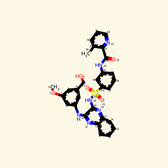 COc1cc(CO)cc(Nc2nc3ccccc3nc2NS(=O)(=O)c2cccc(NC(=O)c3ncccc3C)c2)c1